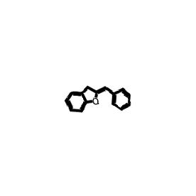 C(=C1\Cc2ccccc2O1)/c1ccccc1